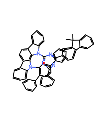 CC1(C)c2ccccc2-c2ccc(-c3nc(-c4ccccc4)nc(-n4c5ccccc5c5ccc6c7ccccc7n(-c7cc(-c8ccccc8)ccc7-c7ccccc7)c6c54)n3)cc21